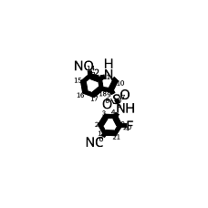 N#Cc1ccc(NS(=O)(=O)c2c[nH]c3c([N+](=O)[O-])cccc23)c(F)c1